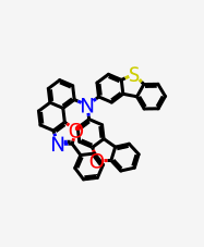 c1ccc(-c2nc3ccc4cccc(N(c5ccc6oc7ccccc7c6c5)c5ccc6sc7ccccc7c6c5)c4c3o2)cc1